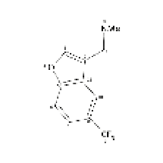 CNCc1coc2ccc(C(F)(F)F)cc12